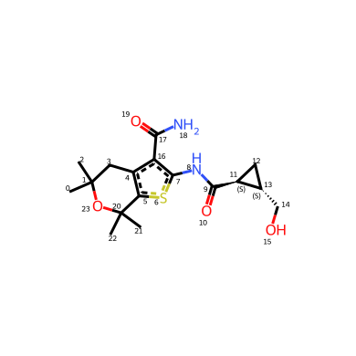 CC1(C)Cc2c(sc(NC(=O)[C@H]3C[C@@H]3CO)c2C(N)=O)C(C)(C)O1